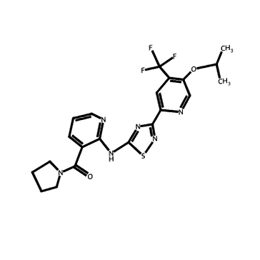 CC(C)Oc1cnc(-c2nsc(Nc3ncccc3C(=O)N3CCCC3)n2)cc1C(F)(F)F